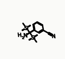 C[Si](C)(C)C(N)(c1cccc(C#N)c1)[Si](C)(C)C